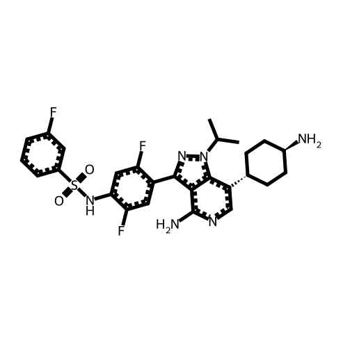 CC(C)n1nc(-c2cc(F)c(NS(=O)(=O)c3cccc(F)c3)cc2F)c2c(N)ncc([C@H]3CC[C@H](N)CC3)c21